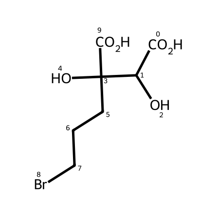 O=C(O)C(O)C(O)(CCCBr)C(=O)O